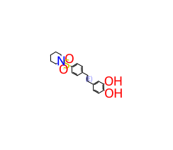 O=S(=O)(c1ccc(/C=C/c2ccc(O)c(O)c2)cc1)N1CCCCC1